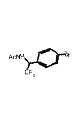 CC(=O)NC(c1ccc(Br)cc1)C(F)(F)F